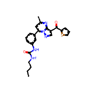 CCCCNC(=O)Nc1cccc(-c2cc(C)nc3c(C(=O)c4cccs4)cnn23)c1